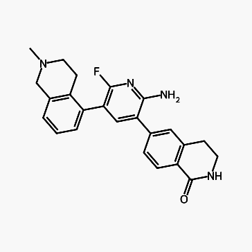 CN1CCc2c(cccc2-c2cc(-c3ccc4c(c3)CCNC4=O)c(N)nc2F)C1